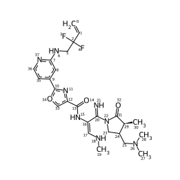 C=CC(F)(F)CNc1cc(-c2nc(C(=O)N/C(=C/NC)C(=N)N3CC(CN(C)C)[C@H](C)C3=O)co2)ccn1